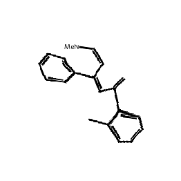 C=C(/C=C(\C=C/NC)c1ccccc1)c1ccccc1C